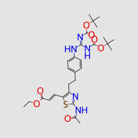 CCOC(=O)/C=C/c1sc(NC(C)=O)nc1CCc1ccc(N/C(=N/C(=O)OC(C)(C)C)NC(=O)OC(C)(C)C)cc1